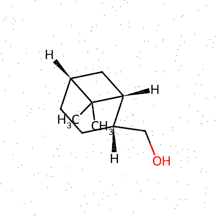 CC1(C)[C@@H]2CC[C@@H](CO)[C@H]1C2